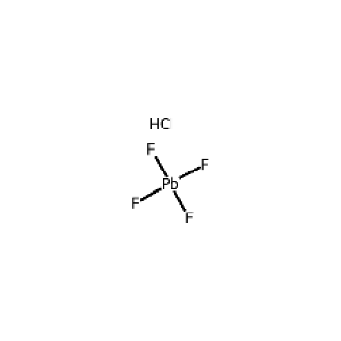 Cl.[F][Pb]([F])([F])[F]